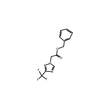 O=C(Cn1cnc(C(F)(F)F)n1)OCc1ccccc1